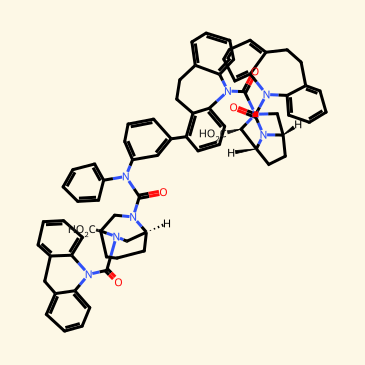 O=C(O)[C@@H]1[C@H]2CC[C@@H](CN1C(=O)N1c3ccccc3CCc3c(-c4cccc(N(C(=O)N5CC6(C(=O)O)CCC[C@H]5CN6C(=O)N5c6ccccc6Cc6ccccc65)c5ccccc5)c4)cccc31)N2C(=O)N1c2ccccc2CCc2ccccc21